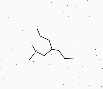 CCCC(CCC)CP(C)F